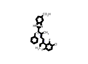 C=C/C(=C\C=C(/C)[C@H](Cc1ccccc1)c1nc2cc(C(=O)O)ccc2[nH]1)c1c(F)ccc(Cl)c1F